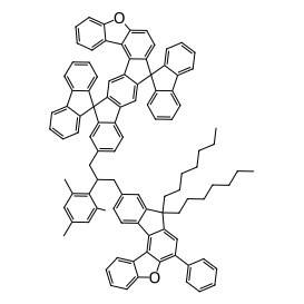 CCCCCCCC1(CCCCCCC)c2cc(CC(Cc3ccc4c(c3)C3(c5ccccc5-c5ccccc53)c3cc5c(cc3-4)C3(c4ccccc4-c4ccccc43)c3ccc4oc6ccccc6c4c3-5)c3c(C)cc(C)cc3C)ccc2-c2c1cc(-c1ccccc1)c1oc3ccccc3c21